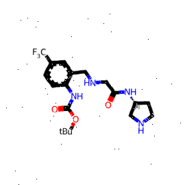 CC(C)(C)OC(=O)Nc1ccc(C(F)(F)F)cc1CNCC(=O)N[C@@H]1CCNC1